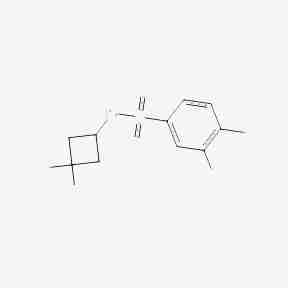 Cc1cc(S(=O)(=O)NC2CC(O)(C(F)(F)F)C2)ccc1Br